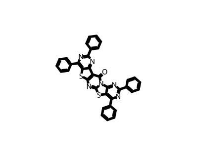 O=c1c2c(nc3sc4c(-c5ccccc5)nc(-c5ccccc5)nc4n13)sc1c(-c3ccccc3)nc(-c3ccccc3)nc12